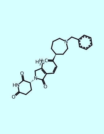 C=C(/C=C\C1=C(C)CN([C@@H]2CCC(=O)NC2=O)C1=O)[C@H]1CCCN(Cc2ccccc2)CC1